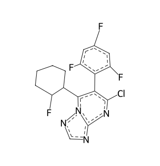 Fc1cc(F)c(-c2c(Cl)nc3ncnn3c2C2CCCCC2F)c(F)c1